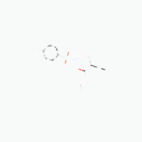 C=C=C(C(=O)OCC)C(C)ONS(=O)(=O)c1ccc(C)cc1